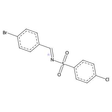 O=S(=O)(/N=C/c1ccc(Br)cc1)c1ccc(Cl)cc1